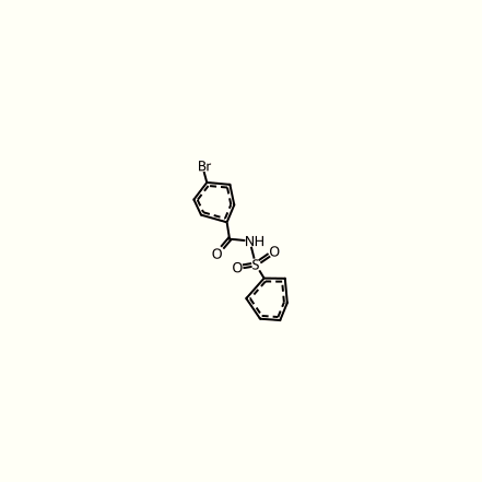 O=C(NS(=O)(=O)c1ccccc1)c1ccc(Br)cc1